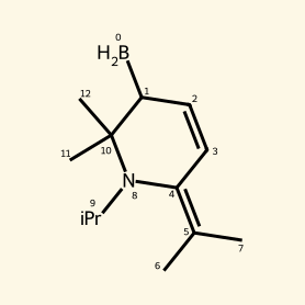 BC1C=CC(=C(C)C)N(C(C)C)C1(C)C